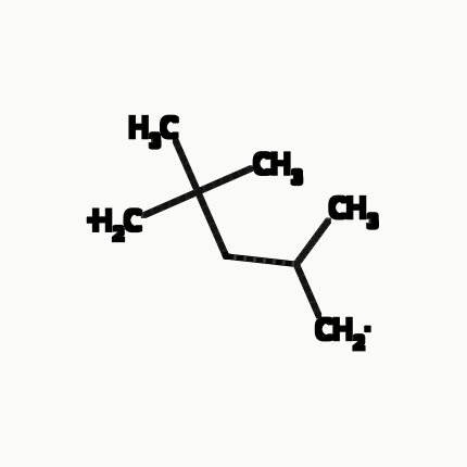 [CH2]C(C)CC([CH2])(C)C